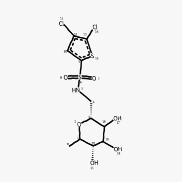 CC1O[C@H](CNS(=O)(=O)c2cc(Cl)c(Cl)s2)C(O)C(O)[C@@H]1O